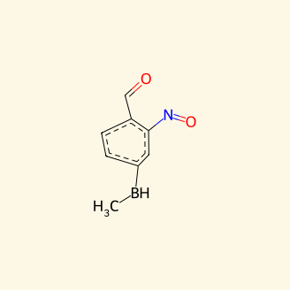 CBc1ccc(C=O)c(N=O)c1